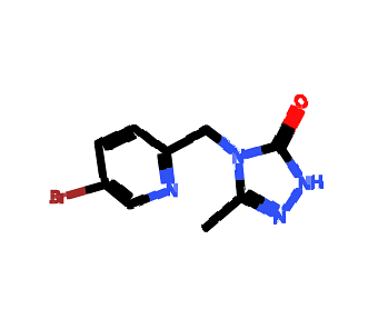 Cc1n[nH]c(=O)n1Cc1ccc(Br)cn1